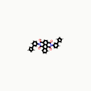 O=C1c2ccc3c4c(c5ccccc5c(c24)C(=O)N1c1cccc(C2=CC=CC2)c1)C(=O)N(c1cccc(C2=CC=CC2)c1)C3=O